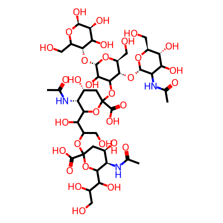 CC(=O)NC1C(O)[C@@H](O)[C@H](CO)O[C@H]1O[C@@H]1C(OC2(C(=O)O)C[C@@H](O)[C@@H](NC(C)=O)C(C(O)C(CO)OC3(C(=O)O)C[C@@H](O)[C@@H](NC(C)=O)C(C(O)C(O)CO)O3)O2)C(O)[C@H](O[C@@H]2C(CO)O[C@@H](O)[C@@H](O)C2O)O[C@H]1CO